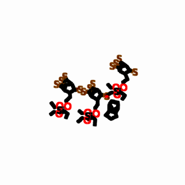 C1=CC2CC1C1CCCC21.CCO[Si](CC)(OCC)OCCC1C(=S)C2C(=S)C(=S)C1C2=S.CCO[Si](CC)(OCC)OCCC1C(=S)C2C(=S)C(=S)C1C2=S.CCO[Si](CC)(OCC)OCCC1C(=S)C2C(=S)C(=S)C1C2=S